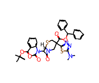 CC(=O)N(c1ccccc1C(=O)OC(C)(C)C)C1C(=O)N2CC(C(=O)OC(c3ccccc3)c3ccccc3)(c3nnc(N(C)C)s3)CS[C@H]12